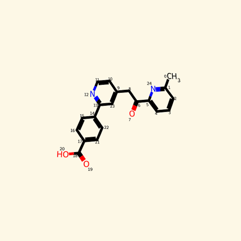 Cc1cccc(C(=O)Cc2ccnc(-c3ccc(C(=O)O)cc3)c2)n1